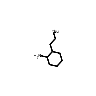 CC(C)(C)CCC1CCCCC1N